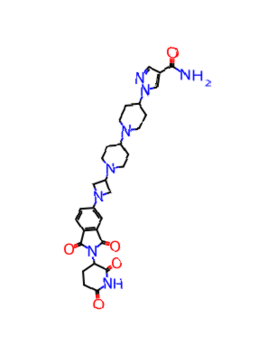 NC(=O)c1cnn(C2CCN(C3CCN(C4CN(c5ccc6c(c5)C(=O)N(C5CCC(=O)NC5=O)C6=O)C4)CC3)CC2)c1